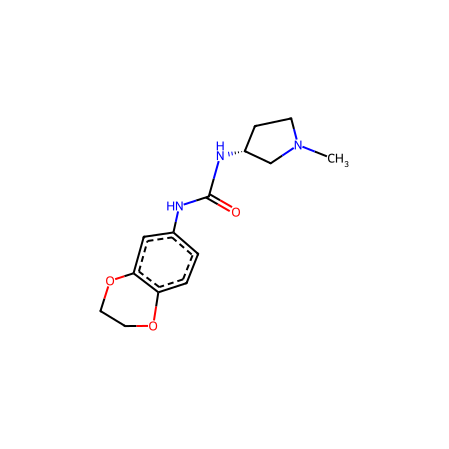 CN1CC[C@@H](NC(=O)Nc2ccc3c(c2)OCCO3)C1